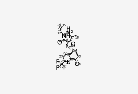 COc1ccc(-c2nc(C(=O)NCC3CC3)c([C@H](C)N)o2)c2ccc(C(F)(F)F)nc12